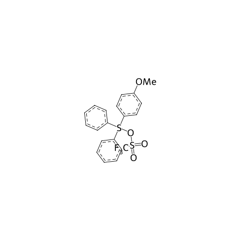 COc1ccc(S(OS(=O)(=O)C(F)(F)F)(c2ccccc2)c2ccccc2)cc1